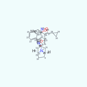 COC(=O)c1ccc(N2[C@@H]3CC[C@H]2C[C@H](OCc2c(-c4ccccc4C(F)(F)F)noc2C2CC2)C3)nc1